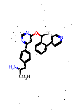 NC(Cc1ccc(-c2cc(OC(c3ccccc3-c3ccncc3)C(F)(F)F)ncn2)cc1)C(=O)O